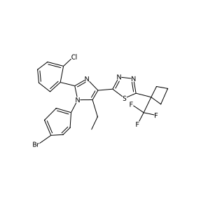 CCc1c(-c2nnc(C3(C(F)(F)F)CCC3)s2)nc(-c2ccccc2Cl)n1-c1ccc(Br)cc1